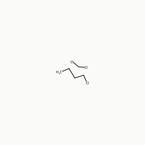 CCCCCl.ClCCl